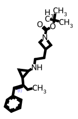 CC/C(=C\c1ccccc1)C1CC1NCCC1CN(C(=O)OC(C)(C)C)C1